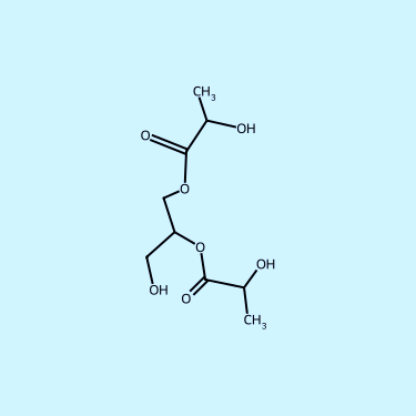 CC(O)C(=O)OCC(CO)OC(=O)C(C)O